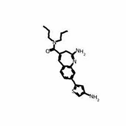 CCCN(CCC)C(=O)C1=Cc2ccc(-c3cc(N)cs3)cc2N=C(N)C1